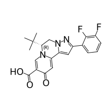 CC(C)(C)[C@@H]1Cn2nc(-c3cccc(F)c3F)cc2-c2cc(=O)c(C(=O)O)cn21